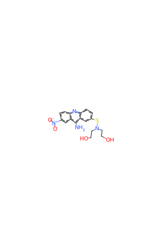 Nc1c2cc(SN(CCO)CCO)ccc2nc2ccc([N+](=O)[O-])cc12